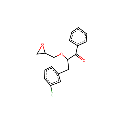 O=C(c1ccccc1)C(Cc1cccc(Cl)c1)OCC1CO1